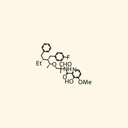 CC[C@H](Cc1ccccc1)[C@@H](Cc1ccc(F)cc1)[C@H](C)OC[C@](C)(C=O)NC(=O)c1nccc(OC)c1O